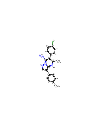 COc1ccc(-c2cnn3c(N)c(-c4ccc(F)cc4)c(C)nc23)cc1